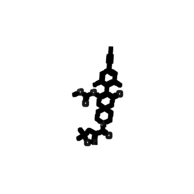 CC#Cc1cc(C)c(C2=C(OC(=O)OC)CC3(CCN(C(=O)C4=NOC(C)(C)C4)CC3)CC2=O)c(C)c1